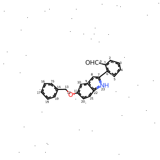 O=Cc1ccccc1-c1cc2cc(OCc3ccccc3)ccc2[nH]1